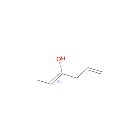 C=CC/C(O)=C/C